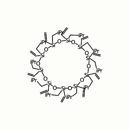 C=C[Si]1(CC(C)C)O[Si](C=C)(CC(C)C)O[Si](C=C)(CC(C)C)O[Si](C=C)(CC(C)C)O[Si](C=C)(CC(C)C)O[Si](C=C)(CC(C)C)O[Si](C=C)(CC(C)C)O[Si](C=C)(CC(C)C)O[Si](C=C)(CC(C)C)O[Si](C=C)(CC(C)C)O1